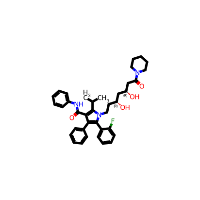 CC(C)c1c(C(=O)Nc2ccccc2)c(-c2ccccc2)c(-c2ccccc2F)n1CC[C@@H](O)C[C@@H](O)CC(=O)N1CCCCC1